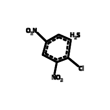 O=[N+]([O-])c1ccc(Cl)c([N+](=O)[O-])c1.S